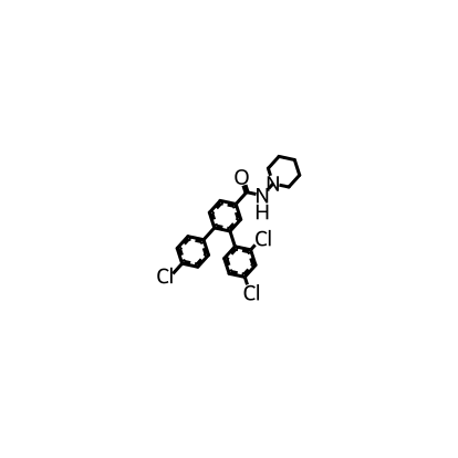 O=C(NN1CCCCC1)c1ccc(-c2ccc(Cl)cc2)c(-c2ccc(Cl)cc2Cl)c1